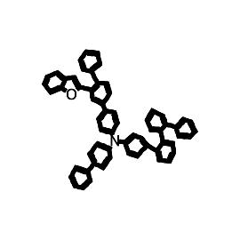 c1ccc(-c2ccc(N(c3ccc(-c4ccc(-c5ccccc5)c(-c5cc6ccccc6o5)c4)cc3)c3ccc(-c4ccccc4-c4ccccc4-c4ccccc4)cc3)cc2)cc1